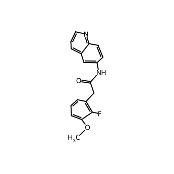 COc1cccc(CC(=O)Nc2ccc3ncccc3c2)c1F